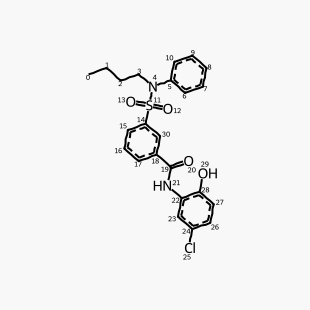 CCCCN(c1ccccc1)S(=O)(=O)c1cccc(C(=O)Nc2cc(Cl)ccc2O)c1